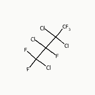 FC(F)(F)C(Cl)(Cl)C(F)(Cl)C(F)(F)Cl